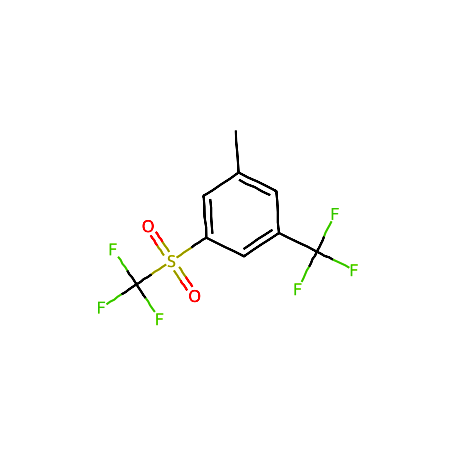 Cc1cc(C(F)(F)F)cc(S(=O)(=O)C(F)(F)F)c1